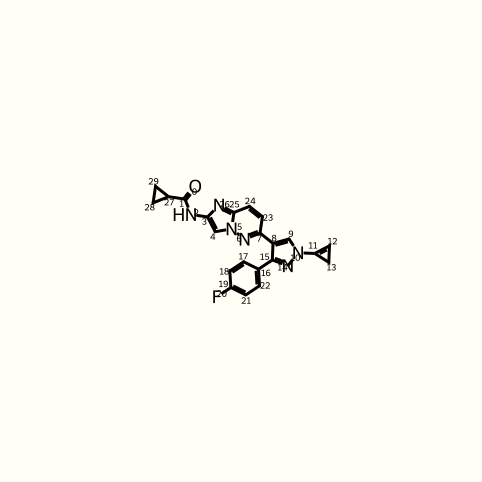 O=C(Nc1cn2nc(-c3cn(C4=CC4)nc3-c3ccc(F)cc3)ccc2n1)C1CC1